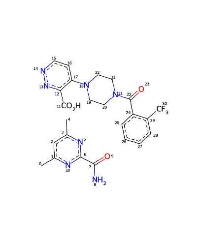 Cc1cc(C)nc(C(N)=O)n1.O=C(O)c1nnccc1N1CCN(C(=O)c2ccccc2C(F)(F)F)CC1